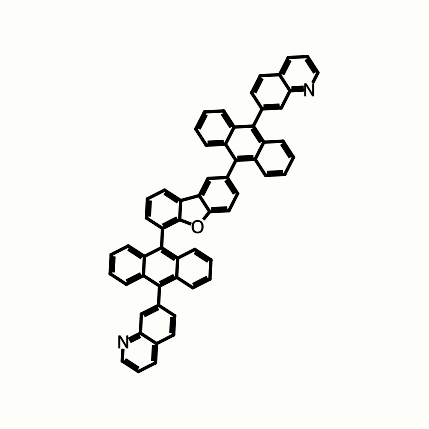 c1cnc2cc(-c3c4ccccc4c(-c4ccc5oc6c(-c7c8ccccc8c(-c8ccc9cccnc9c8)c8ccccc78)cccc6c5c4)c4ccccc34)ccc2c1